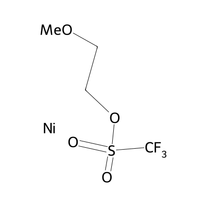 COCCOS(=O)(=O)C(F)(F)F.[Ni]